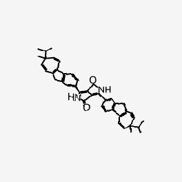 CC(C)C1(C)C=CC2=C(C=C1)c1ccc(C3=C4C(=O)NC(c5ccc6c(c5)CC5=C6C=CC(C)(C(C)C)C=C5)=C4C(=O)N3)cc1C2